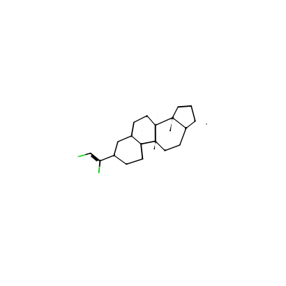 CC[C@H]1CC[C@H]2[C@@H]3CCC4CC(C(Cl)=CCl)CC[C@]4(C)[C@H]3CC[C@]12C